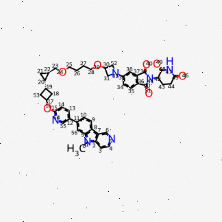 Cn1c2ccncc2c2ccc(-c3ccc(OC4CC([C@@H]5C[C@H]5COCCCCOC5CN(c6ccc7c(c6)C(=O)N(C6CCC(=O)NC6=O)C7=O)C5)C4)nc3)cc21